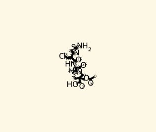 CC(=O)OCC1(C(=O)O)CS[C@@H]2C(NC(=O)C(=CCl)c3csc(N)n3)C(=O)N2C1